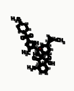 Cc1cc(S(=O)(=O)N2CCN(C)CC2)[nH]c1C(=O)NC12C(=O)c3c(N)cccc3C1(O)Oc1cc(C3CC3C)ccc12